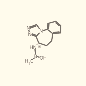 CB(O)N[C@H]1CCc2ccccc2-n2cnnc21